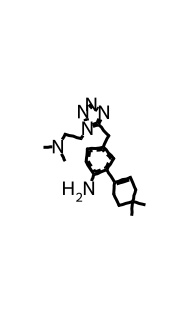 CN(C)CCn1nnnc1Cc1ccc(N)c(C2=CCC(C)(C)CC2)c1